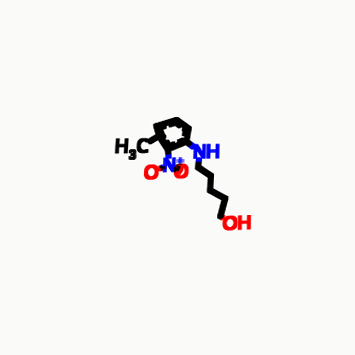 Cc1cccc(NCCCCCO)c1[N+](=O)[O-]